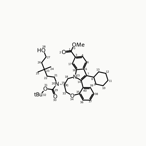 COC(=O)c1ccc2c(C3CCCCC3)c3n(c2c1)C[C@@H](N(CCC(C)(C)CCO)C(=O)OC(C)(C)C)COc1ccccc1-3